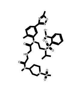 Cc1nc(-c2ccc(C)c(N(CCN(C(C)C)S(=O)(=O)c3ccccc3[N+](=O)[O-])C(=O)CNCC(=O)N(C)C3CCN(S(C)(=O)=O)CC3)c2)no1